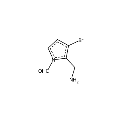 NCc1c(Br)ccn1C=O